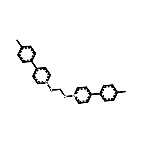 Cc1ccc(-c2cc[n+](OCO[n+]3ccc(-c4ccc(C)cc4)cc3)cc2)cc1